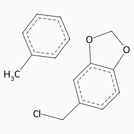 Cc1ccccc1.ClCc1ccc2c(c1)OCO2